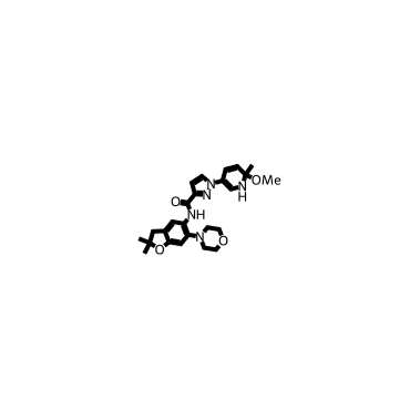 COC1(C)C=CC(n2ccc(C(=O)Nc3cc4c(cc3N3CCOCC3)OC(C)(C)C4)n2)=CN1